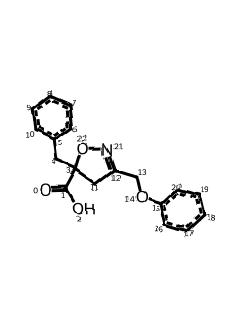 O=C(O)C1(Cc2ccccc2)CC(COc2ccccc2)=NO1